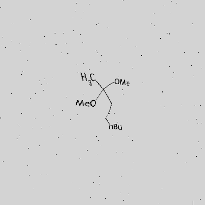 [CH2]CCCCCC(C)(OC)OC